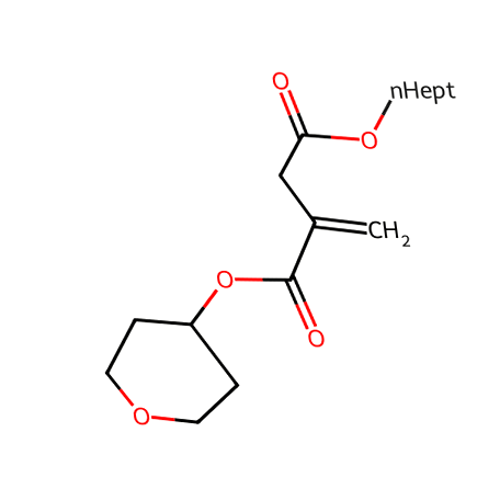 C=C(CC(=O)OCCCCCCC)C(=O)OC1CCOCC1